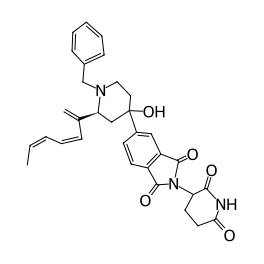 C=C(/C=C\C=C/C)[C@@H]1CC(O)(c2ccc3c(c2)C(=O)N(C2CCC(=O)NC2=O)C3=O)CCN1Cc1ccccc1